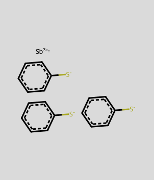 [S-]c1ccccc1.[S-]c1ccccc1.[S-]c1ccccc1.[Sb+3]